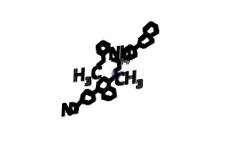 CCCc1ccccc1NCC(C/C=C(\C)C1CCC(C2=CC=C(C3=CC=NC3)CC2)=C2C=CCCC21)[C@H]1C=CC(C2C=C3C=CC=CC3CC2)CC1